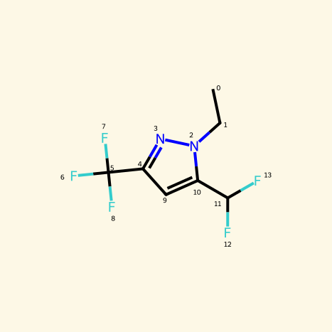 CCn1nc(C(F)(F)F)cc1C(F)F